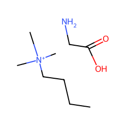 CCCC[N+](C)(C)C.NCC(=O)O